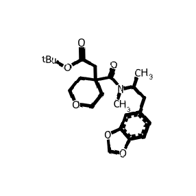 CC(Cc1ccc2c(c1)OCO2)N(C)C(=O)C1(CC(=O)OC(C)(C)C)CCOCC1